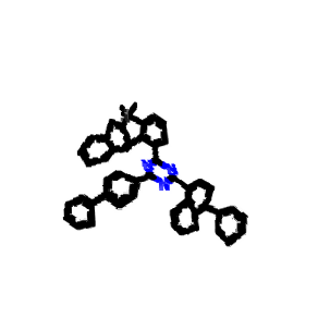 C[Si]1(C)c2cc3ccccc3cc2-c2c(-c3nc(-c4ccc(-c5ccccc5)cc4)nc(-c4ccc(-c5ccccc5)c5ccccc45)n3)cccc21